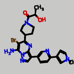 C[C@@H](O)C(=O)N1CCC(c2nc3c(-c4ccc(-c5ccn(C)c5)nc4)cnn3c(N)c2Br)CC1